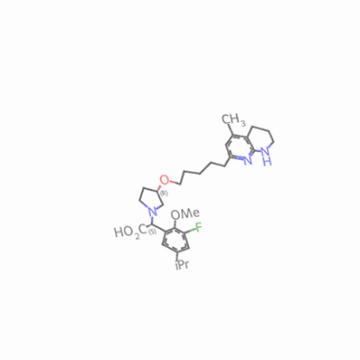 COc1c(F)cc(C(C)C)cc1[C@@H](C(=O)O)N1CC[C@@H](OCCCCCc2cc(C)c3c(n2)NCCC3)C1